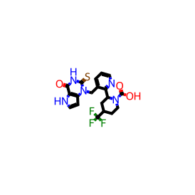 O=C(O)N1CCC(C(F)(F)F)CC1c1ncccc1Cn1c(=S)[nH]c(=O)c2[nH]ccc21